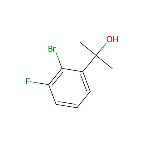 CC(C)(O)c1cccc(F)c1Br